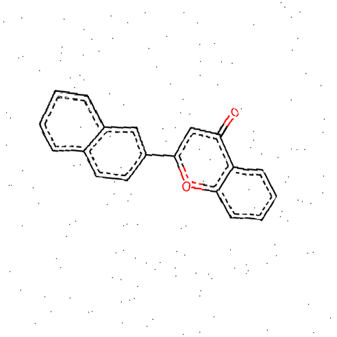 O=c1cc(-c2ccc3ccccc3c2)oc2ccccc12